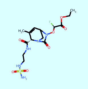 CCOC(=O)[C@H](F)ON1C(=O)N2CC1C=C(C)[C@H]2C(=O)NCCNS(N)(=O)=O